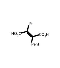 CCCC(C)/C(C(=O)O)=C(\C(=O)O)C(C)C